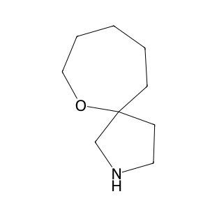 C1CCOC2(CC1)CCNC2